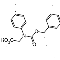 O=C(O)CN(C(=O)OCc1ccccc1)c1ccccc1